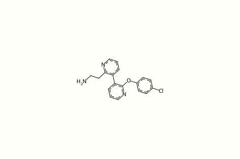 NCCc1ncccc1-c1cccnc1Oc1ccc(Cl)cc1